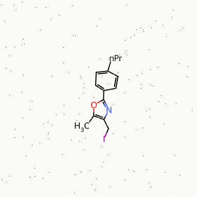 CCCc1ccc(-c2nc(CI)c(C)o2)cc1